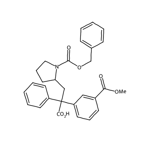 COC(=O)c1cccc(C(CC2CCCN2C(=O)OCc2ccccc2)(C(=O)O)c2ccccc2)c1